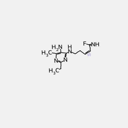 CCc1nc(C)c(N)c(NCC/C=C\C(=N)F)n1